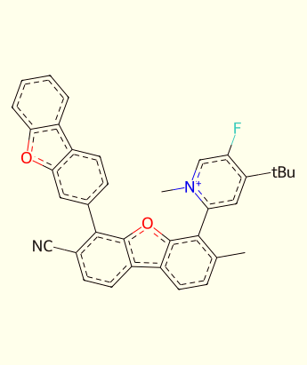 Cc1ccc2c(oc3c(-c4ccc5c(c4)oc4ccccc45)c(C#N)ccc32)c1-c1cc(C(C)(C)C)c(F)c[n+]1C